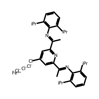 CC(=Nc1c(C(C)C)cccc1C(C)C)c1cc(Cl)cc(C(C)=Nc2c(C(C)C)cccc2C(C)C)n1.[Cl-].[Cl-].[Cl-].[Fe+3]